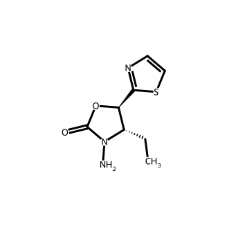 CC[C@H]1[C@H](c2nccs2)OC(=O)N1N